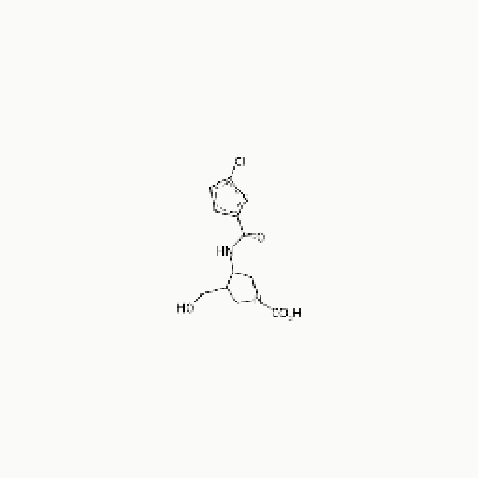 O=C(NC1CN(C(=O)O)CC1CO)c1ccc(Cl)s1